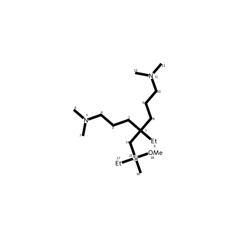 CCC(CCCN(C)C)(CCCN(C)C)C[Si](C)(CC)OC